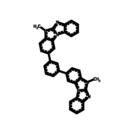 Cn1c2ccc(-c3cccc(-c4ccc5c(c4)n4c6ccccc6nc4n5C)c3)cc2n2c3ccccc3nc12